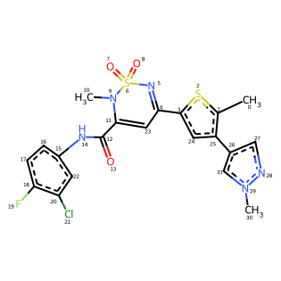 Cc1sc(C2=NS(=O)(=O)N(C)C(C(=O)Nc3ccc(F)c(Cl)c3)=C2)cc1-c1cnn(C)c1